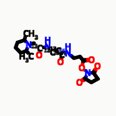 CC1CCCC(C)N1C[13C](=O)N[13CH2][13CH2][13C](=O)[15NH]CCC(=O)ON1C(=O)CCC1=O